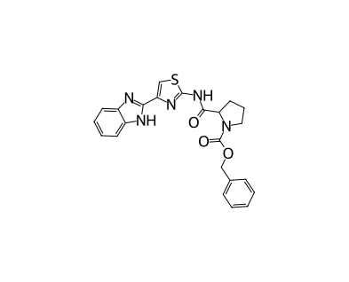 O=C(Nc1nc(-c2nc3ccccc3[nH]2)cs1)C1CCCN1C(=O)OCc1ccccc1